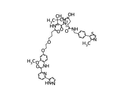 COc1cc(OCCOCCCC(=O)N[C@H](C(=O)N2C[C@H](O)C[C@H]2C(=O)NCc2ccc(-c3scnc3C)cc2)C(C)(C)C)ccc1NC(=O)c1cccc(-c2ccn[nH]2)n1